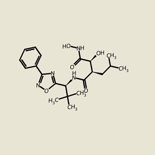 CC(C)C[C@@H](C(=O)N[C@H](c1nc(-c2ccccc2)no1)C(C)(C)C)[C@H](O)C(=O)NO